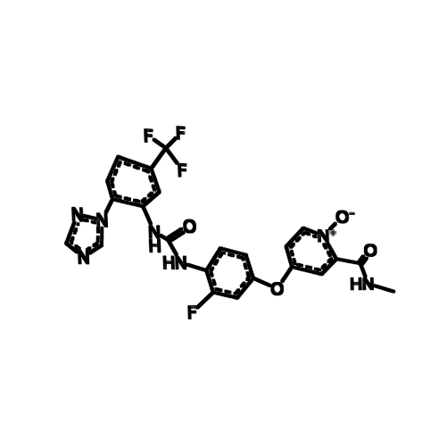 CNC(=O)c1cc(Oc2ccc(NC(=O)Nc3cc(C(F)(F)F)ccc3-n3cncn3)c(F)c2)cc[n+]1[O-]